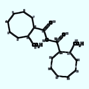 O=C(O)C1CCCCCCC1C(=O)OC(=O)C1CCCCCCC1C(=O)O